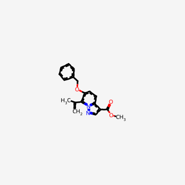 C=C(C)c1c(OCc2ccccc2)ccc2c(C(=O)OC)cnn12